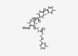 CCN(CCOCc1ccccc1)CCOc1cc(NC(=O)c2ccc(Oc3ccccc3)cc2)ccc1OC